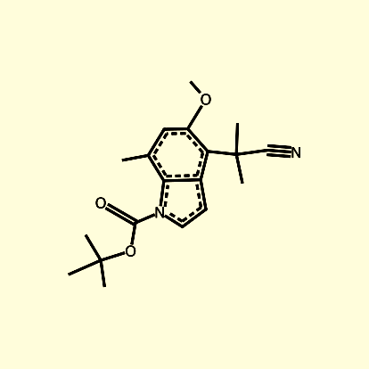 COc1cc(C)c2c(ccn2C(=O)OC(C)(C)C)c1C(C)(C)C#N